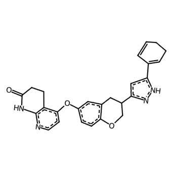 O=C1CCc2c(Oc3ccc4c(c3)CC(c3cc(C5=CCCC=C5)[nH]n3)CO4)ccnc2N1